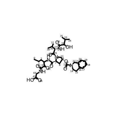 CCCC(NC(=O)[C@@H]1C[C@@H](OC(=O)N2CCc3ccccc3C2)CN1C(=O)[C@@H](NC(=O)C(O)C(C)C)C(C)C)C(=O)C(=O)NCC(=O)O